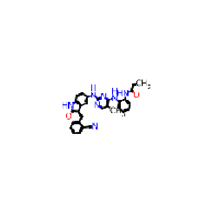 C=CC(=O)Nc1ccccc1Nc1nc(Nc2ccc3c(c2)/C(=C/c2ccccc2C#N)C(=O)N3)ncc1C